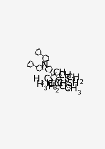 C=C/C(=C(\S)C(=C)C)C(C)C(C)c1c(C)c(C)c(C)c(-c2ccc3c(c2)c2ccc(-c4ccccc4)cc2n3-c2cccc(-c3ccccc3)c2)c1C